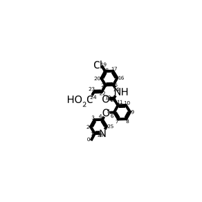 Cc1ccc(Oc2ccccc2C(=O)Nc2ccc(Cl)cc2/C=C/C(=O)O)cn1